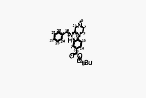 CN1CCN(c2ccc(C(=O)OOC(C)(C)C)cc2)C(NCc2ccccc2)C1